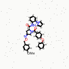 COc1ccc(CON=C2C[C@@H](C(=O)Nc3ccccc3-n3cccc3)N(C(=O)c3ccc(Oc4ccccc4)cc3)C2)cc1